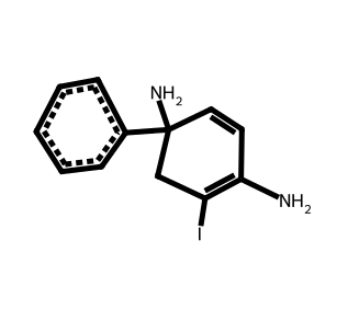 NC1=C(I)CC(N)(c2ccccc2)C=C1